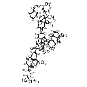 CC(C)c1ccccc1[C@@H]1COCCCN1[C@H]1CC2(CCN(c3ccc(C(=O)NS(=O)(=O)c4cc5c(c([N+](=O)[O-])c4)N[C@@H](C4CCC(C)(O)CC4)CO5)c(N4c5cc6cc[nH]c6nc5O[C@H]5COCC[C@@H]54)c3)CC2)C1(C)C